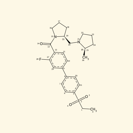 CCS(=O)(=O)c1ccc(-c2ccc(C(=O)N3CCC[C@H]3CN3CCC[C@H]3C)c(F)c2)cc1